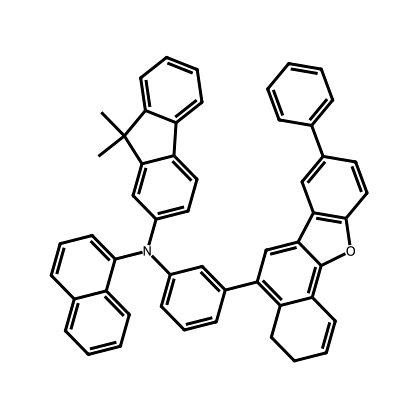 CC1(C)c2ccccc2-c2ccc(N(c3cccc(-c4cc5c(oc6ccc(-c7ccccc7)cc65)c5c4CCC=C5)c3)c3cccc4ccccc34)cc21